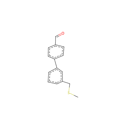 CSCc1cccc(-c2ccc(C=O)cc2)c1